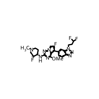 COc1nc(N[C@H]2CCN(C)C[C@H]2F)nn2cc(F)c(-c3ccc4nnn(CCC(F)F)c4c3)c12